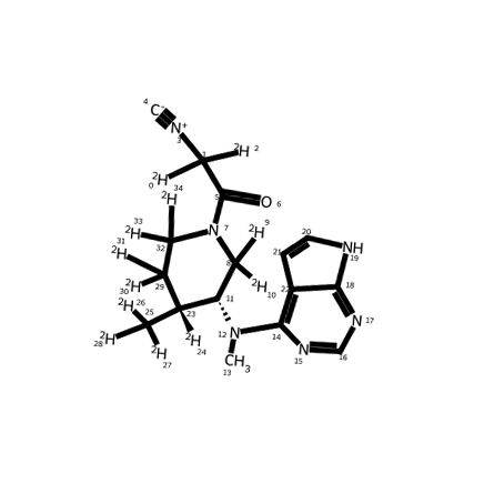 [2H]C([2H])([N+]#[C-])C(=O)N1C([2H])([2H])[C@H](N(C)c2ncnc3[nH]ccc23)[C@]([2H])(C([2H])([2H])[2H])C([2H])([2H])C1([2H])[2H]